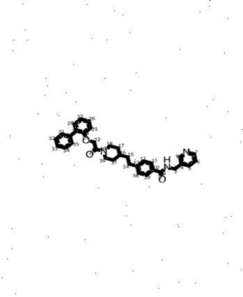 O=C(NCc1cccnc1)c1ccc(CCC2CCN(C(=O)COc3ccccc3-c3ccccc3)CC2)cc1